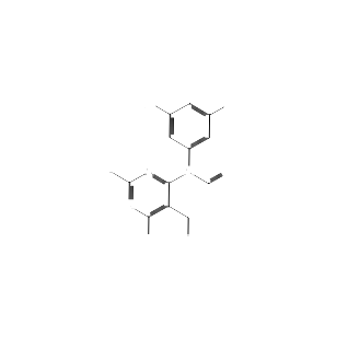 CCc1c(Cl)nc(Cl)nc1N(C=O)c1cc(C)cc(C)c1